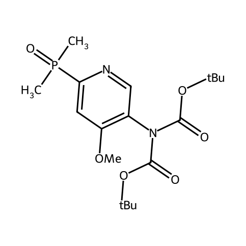 COc1cc(P(C)(C)=O)ncc1N(C(=O)OC(C)(C)C)C(=O)OC(C)(C)C